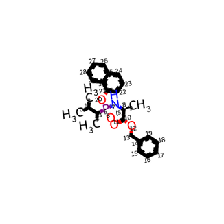 CC(C)C(C)P(=O)(N[C@@H](C)C(=O)OCc1ccccc1)Oc1cccc2ccccc12